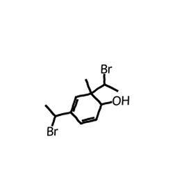 CC(Br)C1=CC(C)(C(C)Br)C(O)C=C1